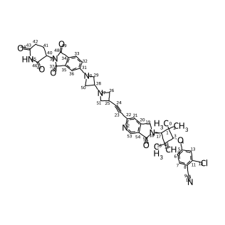 CC1(C)[C@H](Oc2ccc(C#N)c(Cl)c2)C(C)(C)[C@H]1N1Cc2cc(C#CC3CN(C4CN(c5ccc6c(c5)C(=O)N(C5CCC(=O)NC5=O)C6=O)C4)C3)ncc2C1=O